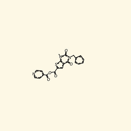 Cn1c(=O)n(Cc2ccccc2)c(=O)c2cc(C(=O)OC(=O)c3ccncc3)sc21